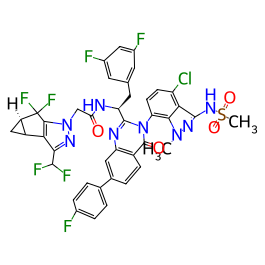 Cn1nc(NS(C)(=O)=O)c2c(Cl)ccc(-n3c([C@H](Cc4cc(F)cc(F)c4)NC(=O)Cn4nc(C(F)F)c5c4C(F)(F)[C@@H]4CC54)nc4cc(-c5ccc(F)cc5)ccc4c3=O)c21